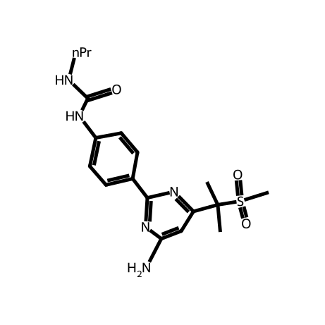 CCCNC(=O)Nc1ccc(-c2nc(N)cc(C(C)(C)S(C)(=O)=O)n2)cc1